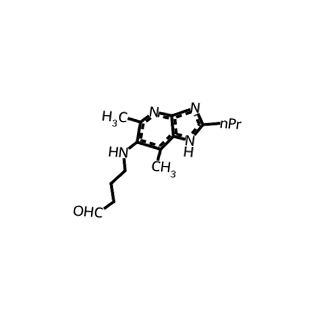 CCCc1nc2nc(C)c(NCCCC=O)c(C)c2[nH]1